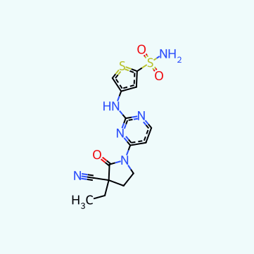 CCC1(C#N)CCN(c2ccnc(Nc3csc(S(N)(=O)=O)c3)n2)C1=O